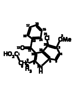 CC(=O)O.COc1ccc2[nH]c(C)c(C(=O)c3ccccc3)c2c1Cl